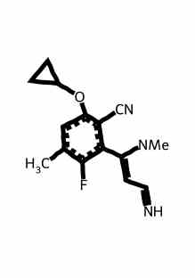 CN/C(=C\C=N)c1c(F)c(C)cc(OC2CC2)c1C#N